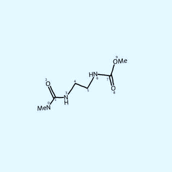 CNC(=O)NCCNC(=O)OC